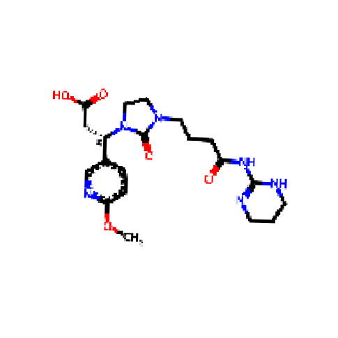 COc1ccc([C@H](CC(=O)O)N2CCN(CCCC(=O)NC3=NCCCN3)C2=O)cn1